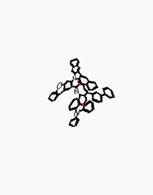 CCC1/C(c2cccc(-c3ccccc3)c2)=C/CC(C)/C(c2cc3c(cc2-n2c4cc5ccccc5cc4c4cc5ccccc5cc42)oc2ccccc23)=N\C1c1cccc2c1c1ccccc1n2-c1ccccc1